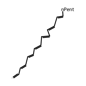 [CH]=C/C=C/C=C/C=C/C=C/C=C/C=C/CCCCC